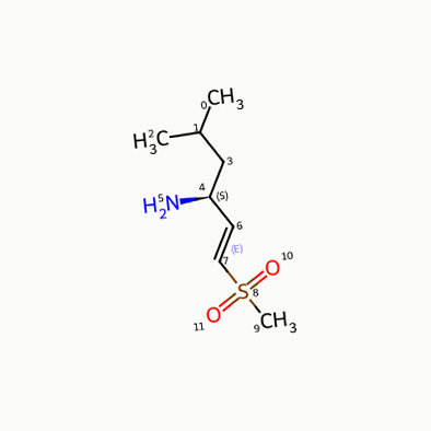 CC(C)C[C@H](N)/C=C/S(C)(=O)=O